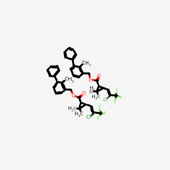 Cc1c(COC(=O)C2C(/C=C(\Cl)C(F)(F)F)C2(C)C)cccc1-c1ccccc1.Cc1c(COC(=O)C2C(/C=C(\Cl)C(F)(F)F)C2(C)C)cccc1-c1ccccc1